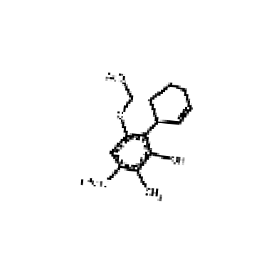 CCCCCc1cc(OCOC(C)=O)c(C2C=CCCC2)c(O)c1C